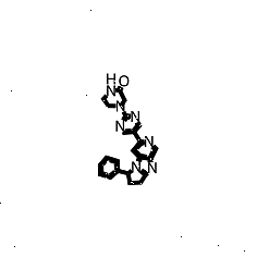 O=C1CN(c2ncc(-c3cc4c(cn3)nc3n4C(c4ccccc4)CC3)cn2)CCN1